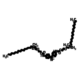 CCCCCCCCCCCCCCCC[N+](C)(C)CCOCCOC(=O)Nc1ccc(Cc2ccc(NC(=O)OCCOCC[N+](C)(C)CCCCCCCCCCCCCCCC)cc2)cc1.[Br-].[Br-]